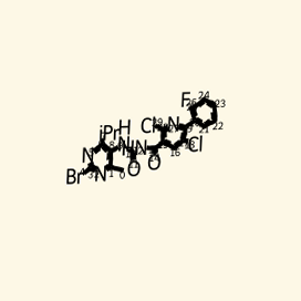 Cc1nc(Br)nc(C(C)C)c1NC(=O)NC(=O)c1cc(Cl)c(-c2ccccc2F)nc1Cl